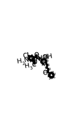 COc1cc(N)c(Cl)cc1C(=O)NC[C@@H]1CCN(CCCC(=O)c2ccccc2)C[C@@H]1O.Cl